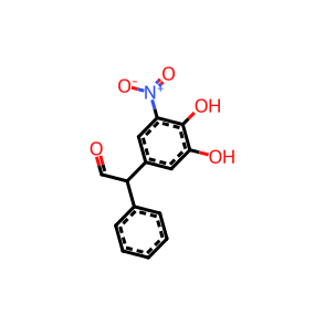 O=CC(c1ccccc1)c1cc(O)c(O)c([N+](=O)[O-])c1